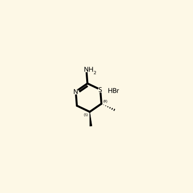 Br.C[C@H]1CN=C(N)S[C@@H]1C